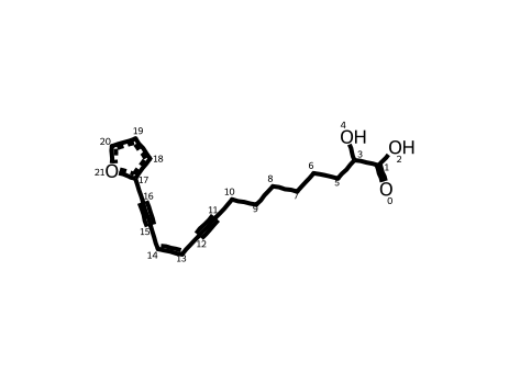 O=C(O)C(O)CCCCCCC#C/C=C\C#Cc1ccco1